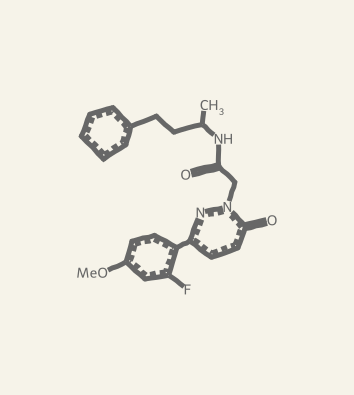 COc1ccc(-c2ccc(=O)n(CC(=O)NC(C)CCc3ccccc3)n2)c(F)c1